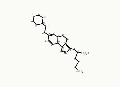 NCCC[C@@H](Cc1ncn2c1CCc1cc(CCC3CCCCC3)ccc1-2)C(=O)O